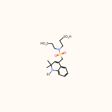 CCN1c2ccccc2C(CS(=O)(=O)N(CCS(=O)(=O)O)CCS(=O)(=O)O)=CC1(C)C